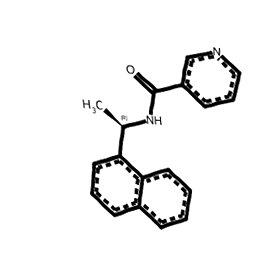 C[C@@H](NC(=O)c1cccnc1)c1cccc2ccccc12